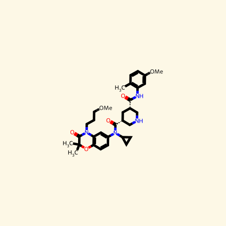 COCCCN1C(=O)C(C)(C)Oc2ccc(N(C(=O)[C@H]3CNC[C@@H](C(=O)Nc4cc(OC)ccc4C)C3)C3CC3)cc21